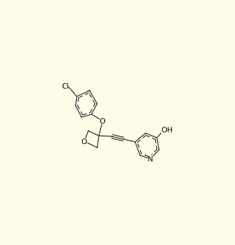 Oc1cncc(C#CC2(Oc3ccc(Cl)cc3)COC2)c1